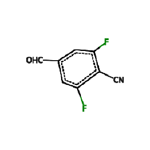 N#Cc1c(F)cc(C=O)cc1F